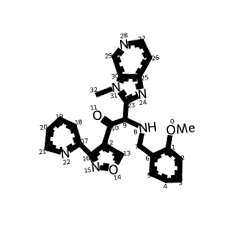 COc1ccccc1CNC(C(=O)c1conc1-c1ccccn1)c1nc2ccncc2n1C